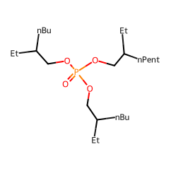 CCCCCC(CC)COP(=O)(OCC(CC)CCCC)OCC(CC)CCCC